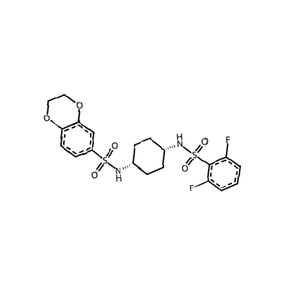 O=S(=O)(N[C@H]1CC[C@@H](NS(=O)(=O)c2c(F)cccc2F)CC1)c1ccc2c(c1)OCCO2